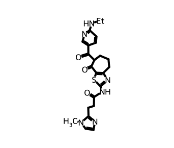 CCNc1ccc(C(=O)C2CCCc3nc(NC(=O)CCc4nccn4C)sc3C2=O)cn1